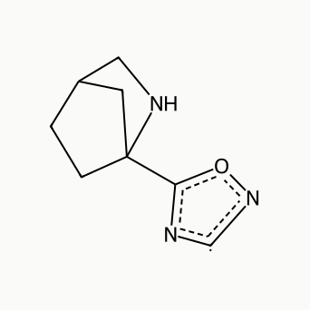 [c]1noc(C23CCC(CN2)C3)n1